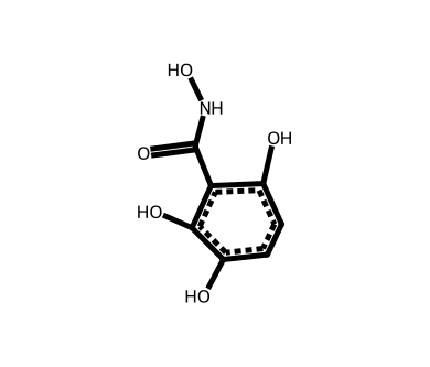 O=C(NO)c1c(O)ccc(O)c1O